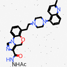 CC(=O)NNC(=O)c1ncn2c1COc1c(CCN3CCN(c4cccc5nc(C)ccc45)CC3)cccc1-2